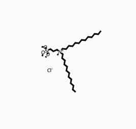 CCCCCCCCCCCCC[N+](C)(CCCCCCCCCCCCC)CCC[Si](OC)(OC)OC.[Cl-]